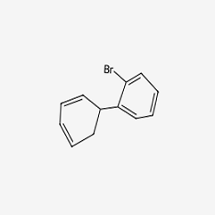 Brc1ccccc1C1C=CC=CC1